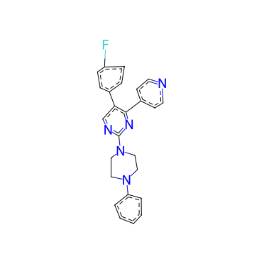 Fc1ccc(-c2cnc(N3CCN(c4ccccc4)CC3)nc2-c2ccncc2)cc1